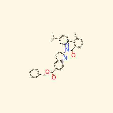 Cc1cccc(C(=O)Nc2ccc3cc(C(=O)OCc4ccccc4)ccc3n2)c1-c1ccc(C(C)C)cc1